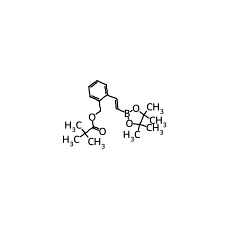 CC(C)(C)C(=O)OCc1ccccc1C=CB1OC(C)(C)C(C)(C)O1